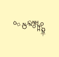 CO[C@H]1C[C@H](c2cccc(C3=CCC(NC(=O)CNC(=O)c4ccn(C(C)(C)C)c4)=N3)n2)C1